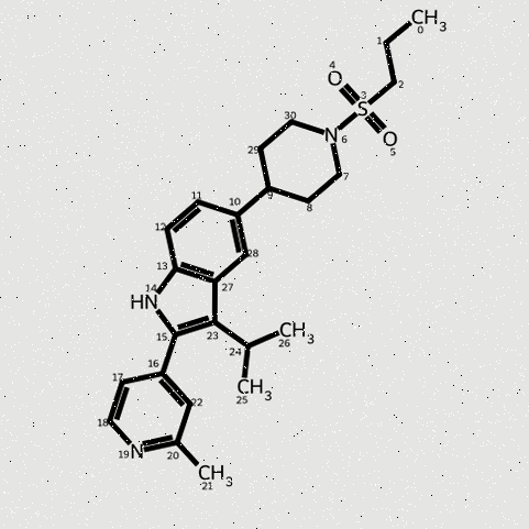 CCCS(=O)(=O)N1CCC(c2ccc3[nH]c(-c4ccnc(C)c4)c(C(C)C)c3c2)CC1